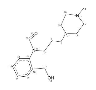 CN1CCN(CCCN(C=O)c2ccccc2CO)CC1